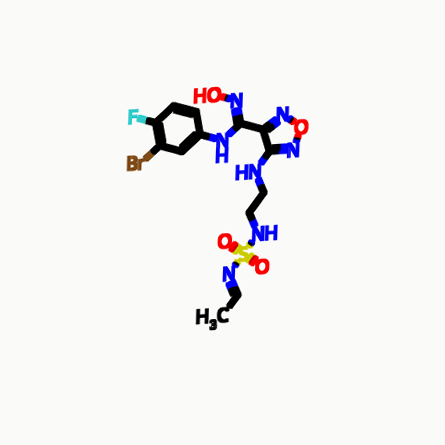 C/C=N/S(=O)(=O)NCCNc1nonc1/C(=N/O)Nc1ccc(F)c(Br)c1